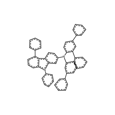 c1ccc(-c2cccc(N(c3ccc4c5c(-c6ccccc6)cccc5n(-c5ccccc5)c4c3)c3ccc(-c4ccccc4)cc3-c3ccccc3)c2)cc1